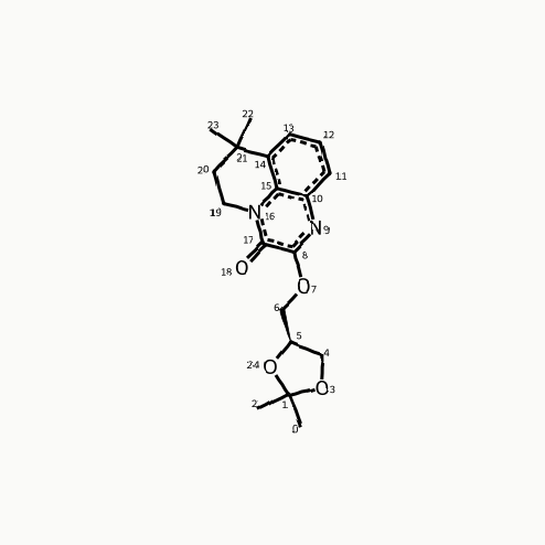 CC1(C)OC[C@H](COc2nc3cccc4c3n(c2=O)CCC4(C)C)O1